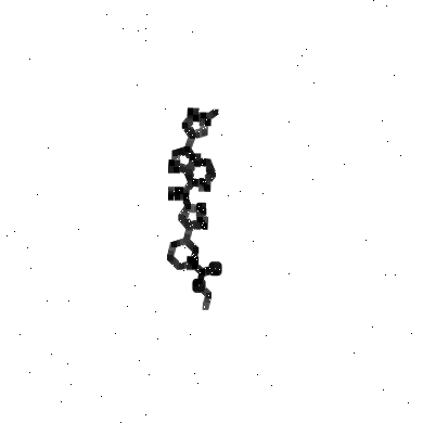 CCOC(=O)N1CCCC(c2cc(Nc3nccn4c(-c5cnn(C)c5)cnc34)sn2)C1